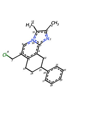 Cc1nc2c3c(c(CCl)cn2c1C)CCC(c1ccccc1)C3